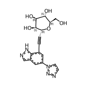 OC[C@H]1O[C@H](C#Cc2cc(-n3ccnn3)cc3cn[nH]c23)[C@@H](O)[C@@H](O)[C@@H]1O